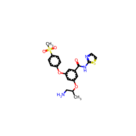 CC(CN)Oc1cc(Oc2ccc(S(C)(=O)=O)cc2)cc(C(=O)Nc2nccs2)c1